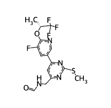 CSc1nc(CNC=O)cc(-c2cnc(O[C@H](C)C(F)(F)F)c(F)c2)n1